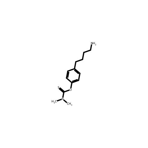 CN(C)C(=S)Oc1ccc(CCCCN)cc1